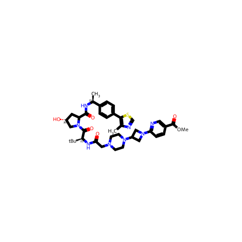 COC(=O)c1ccc(N2CC(N3CCN(CC(=O)N[C@H](C(=O)N4C[C@H](O)CC4C(=O)N[C@@H](C)c4ccc(-c5scnc5C)cc4)C(C)(C)C)CC3)C2)nc1